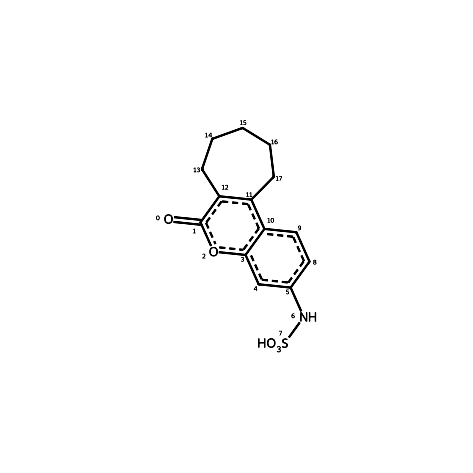 O=c1oc2cc(NS(=O)(=O)O)ccc2c2c1CCCCC2